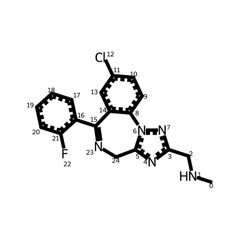 CNCc1nc2n(n1)-c1ccc(Cl)cc1C(c1ccccc1F)=NC2